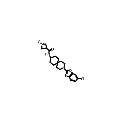 O=C(NC1CCC2(CC1)CCN(c1nc3ccc(Cl)cc3o1)CC2)C1C[S+]([O-])C1